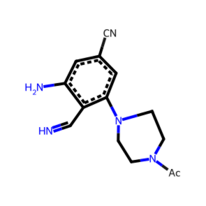 CC(=O)N1CCN(c2cc(C#N)cc(N)c2C=N)CC1